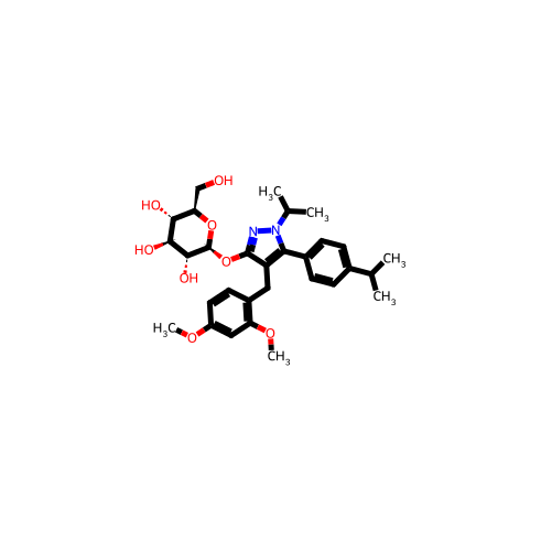 COc1ccc(Cc2c(O[C@@H]3O[C@H](CO)[C@@H](O)[C@H](O)[C@H]3O)nn(C(C)C)c2-c2ccc(C(C)C)cc2)c(OC)c1